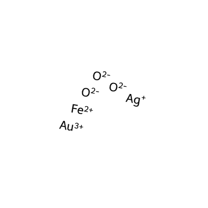 [Ag+].[Au+3].[Fe+2].[O-2].[O-2].[O-2]